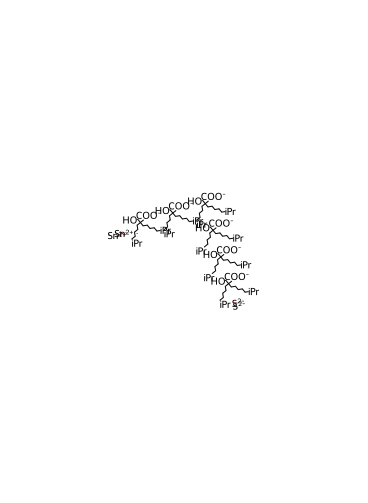 CC(C)CCCCCC(C)(CCCCCC(C)C)C(O)C(=O)[O-].CC(C)CCCCCC(C)(CCCCCC(C)C)C(O)C(=O)[O-].CC(C)CCCCCC(C)(CCCCCC(C)C)C(O)C(=O)[O-].CC(C)CCCCCC(C)(CCCCCC(C)C)C(O)C(=O)[O-].CC(C)CCCCCC(C)(CCCCCC(C)C)C(O)C(=O)[O-].CC(C)CCCCCC(C)(CCCCCC(C)C)C(O)C(=O)[O-].[CH3][Sn+2].[CH3][Sn+2].[S-2].[S-2]